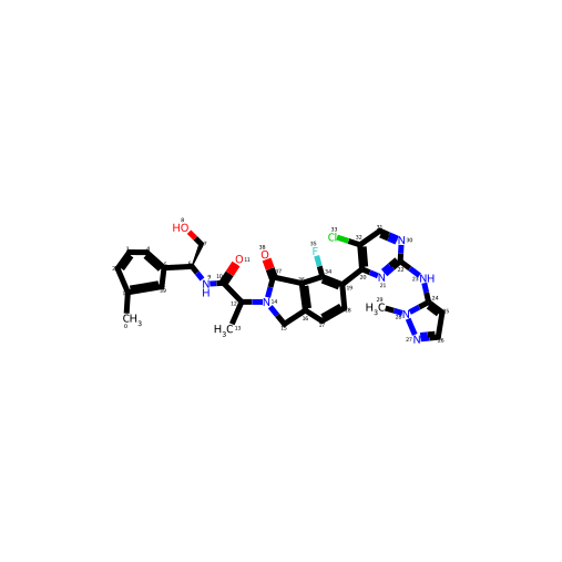 Cc1cccc([C@@H](CO)NC(=O)C(C)N2Cc3ccc(-c4nc(Nc5ccnn5C)ncc4Cl)c(F)c3C2=O)c1